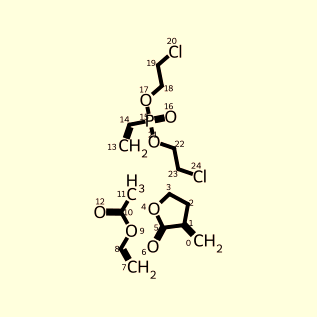 C=C1CCOC1=O.C=COC(C)=O.C=CP(=O)(OCCCl)OCCCl